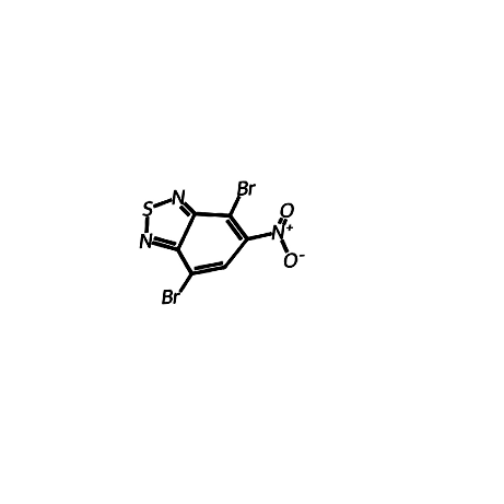 O=[N+]([O-])c1cc(Br)c2nsnc2c1Br